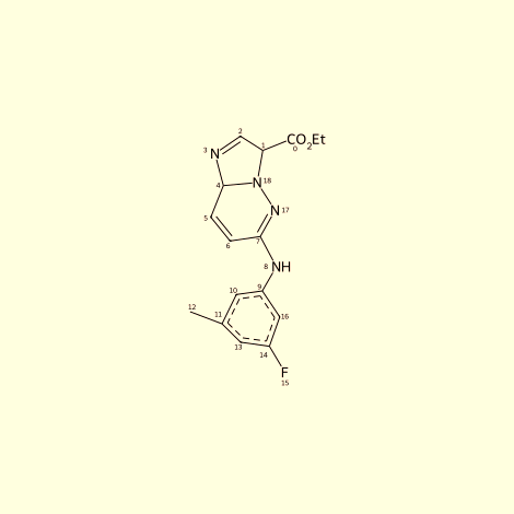 CCOC(=O)C1C=NC2C=CC(Nc3cc(C)cc(F)c3)=NN21